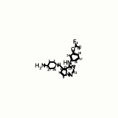 NC1CCN(Cc2ccn3ncnc(Nc4cccc(OC(F)F)c4)c23)CC1